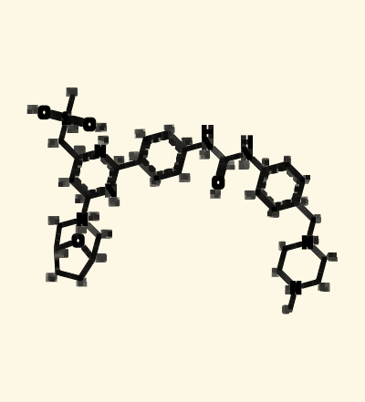 CN1CCN(Cc2ccc(NC(=O)Nc3ccc(-c4nc(CS(C)(=O)=O)cc(N5CC6CCC(C5)O6)n4)cc3)cc2)CC1